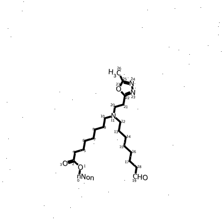 CCCCCCCCCOC(=O)CCCCCCCN(CCCCCCCC=O)CCc1nnc(C)o1